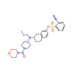 CCCN(C1CCN(C(=O)N2CCOCC2)CC1)C1CCc2ccc(OS(=O)(=O)c3ccccc3C#N)cc2C1